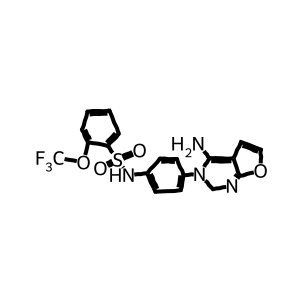 NC1=c2ccoc2=NCN1c1ccc(NS(=O)(=O)c2ccccc2OC(F)(F)F)cc1